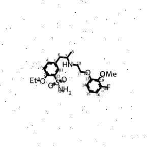 CCOc1ccc(CC(C)NCCOc2cccc(F)c2OC)cc1S(N)(=O)=O